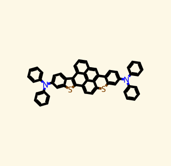 c1ccc(N(c2ccccc2)c2ccc3c(c2)Sc2ccc4c5sc6cc(N(c7ccccc7)c7ccccc7)ccc6c5c5cccc6cc-3c2c4c65)cc1